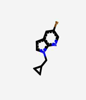 Brc1cnc2c(ccn2CC2CC2)c1